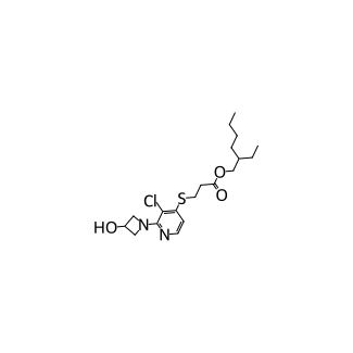 CCCCC(CC)COC(=O)CCSc1ccnc(N2CC(O)C2)c1Cl